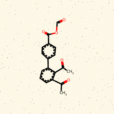 CC(=O)c1cccc(-c2ccc(C(=O)OC=O)cc2)c1C(C)=O